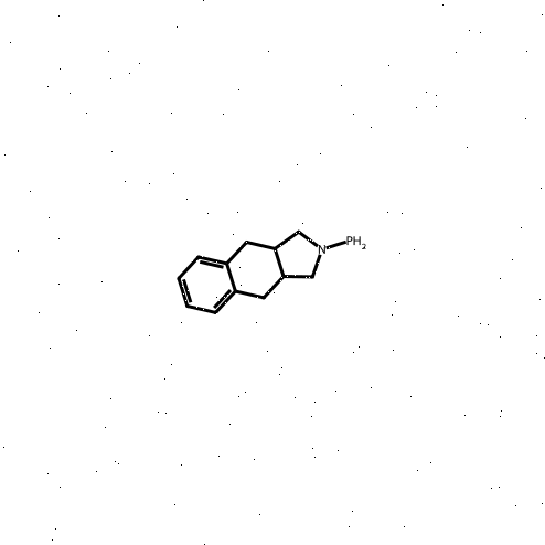 PN1CC2Cc3ccccc3CC2C1